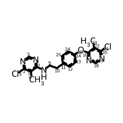 Cc1c(Cl)ncnc1NCCc1ccc(Oc2ncnc(Cl)c2C)cc1